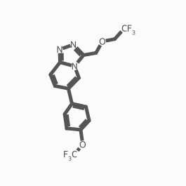 FC(F)(F)COCc1nnc2ccc(-c3ccc(OC(F)(F)F)cc3)cn12